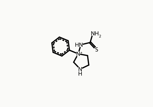 NC(=S)N[N+]1(c2ccccc2)CCNC1